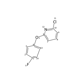 Fc1ccc(Oc2cccc(Cl)n2)cc1